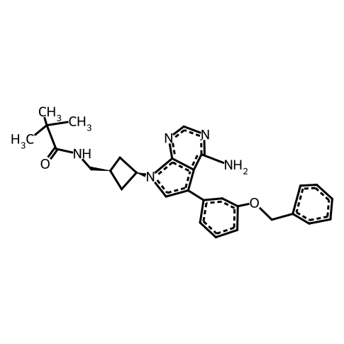 CC(C)(C)C(=O)NC[C@H]1C[C@@H](n2cc(-c3cccc(OCc4ccccc4)c3)c3c(N)ncnc32)C1